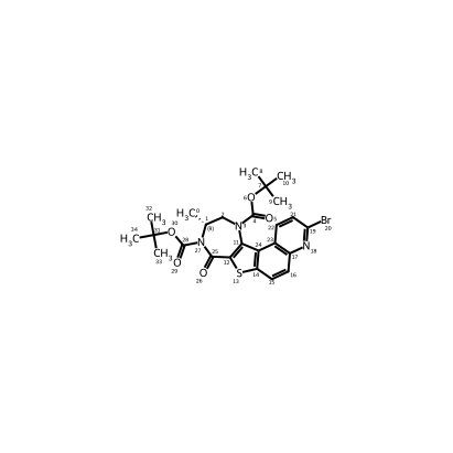 C[C@@H]1CN(C(=O)OC(C)(C)C)c2c(sc3ccc4nc(Br)ccc4c23)C(=O)N1C(=O)OC(C)(C)C